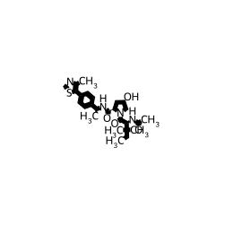 CCC(C)(C)[C@H](NC(C)=O)C(=O)N1C[C@H](O)C[C@H]1C(=O)N[C@@H](C)c1ccc(-c2scnc2C)cc1